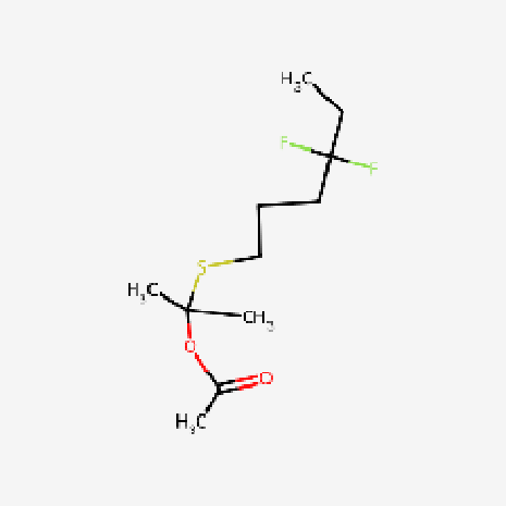 CCC(F)(F)CCCSC(C)(C)OC(C)=O